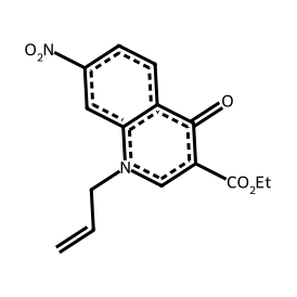 C=CCn1cc(C(=O)OCC)c(=O)c2ccc([N+](=O)[O-])cc21